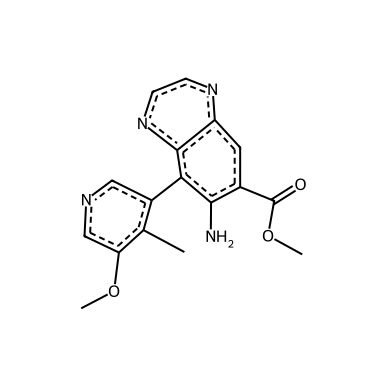 COC(=O)c1cc2nccnc2c(-c2cncc(OC)c2C)c1N